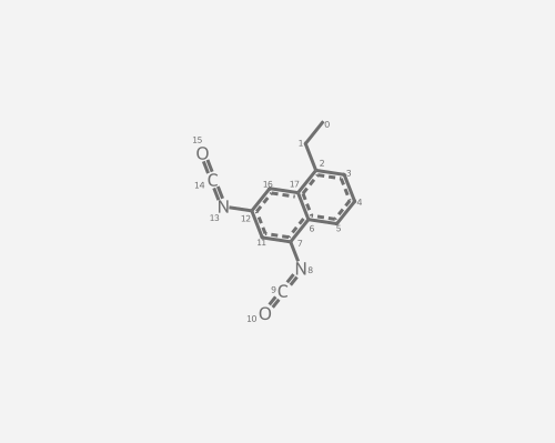 CCc1cccc2c(N=C=O)cc(N=C=O)cc12